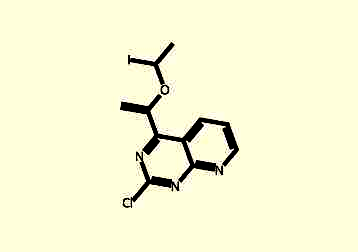 C=C(OC(C)I)c1nc(Cl)nc2ncccc12